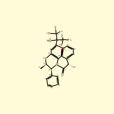 C[C@H](C(=O)N1c2ccc(C(O)(C(F)(F)F)C(F)(F)F)cc2S[C@H](C)[C@@H]1c1ccccc1)c1ccccc1